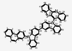 c1ccc2c(c1)ccc1cc(-n3c4ccccc4c4cc(-c5ccc6c(c5)c5ccccc5n6-c5c6ccccc6nc6c5sc5ccccc56)ccc43)ccc12